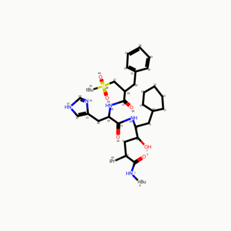 CCCCNC(=O)C(CC(O)C(CC1CCCCC1)NC(=O)C(Cc1c[nH]cn1)NC(=O)C(Cc1ccccc1)CS(=O)(=O)C(C)(C)C)C(C)C